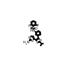 CC(C)c1nc(-c2cccc(NS(=O)(=O)c3c(F)cccc3F)c2)c(-c2ccnc(N)n2)s1